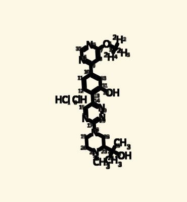 Cl.Cl.[2H]C([2H])([2H])Oc1cc(-c2ccc(-c3cnc(N4CCN(C)C(C(C)(C)O)C4)nn3)c(O)c2)ncn1